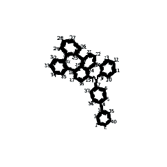 c1ccc(-c2ccc(N(c3ccccc3)c3ccc4c5c(cccc35)-c3ccccc3-c3ccccc3-4)cc2)cc1